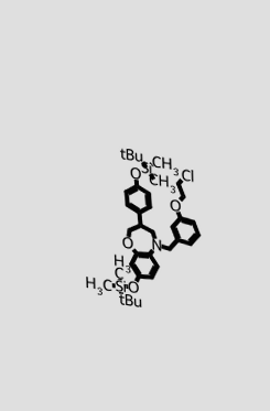 CC(C)(C)[Si](C)(C)Oc1ccc(C2COc3cc(O[Si](C)(C)C(C)(C)C)ccc3N(Cc3cccc(OCCCl)c3)C2)cc1